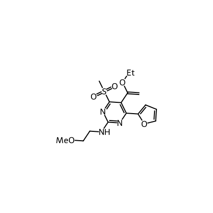 C=C(OCC)c1c(-c2ccco2)nc(NCCOC)nc1S(C)(=O)=O